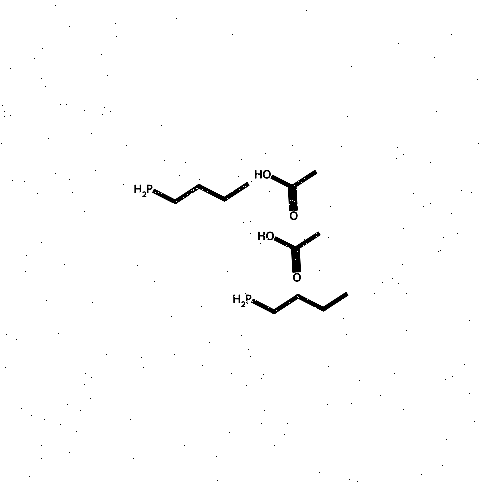 CC(=O)O.CC(=O)O.CCCCP.CCCCP